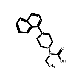 CCN(C(=O)O)N1CCN(c2cccc3ccccc23)CC1